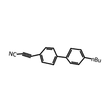 CCCCc1ccc(-c2ccc(C#CC#N)cc2)cc1